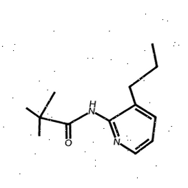 CCCc1cccnc1NC(=O)C(C)(C)C